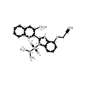 C#CCOc1cccc2c1nc(-c1nc3ccccc3cc1C(=O)O)n2S(=O)(=O)N(C)C